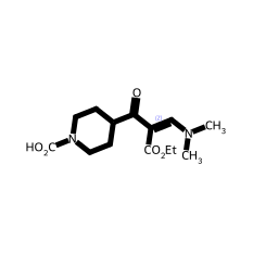 CCOC(=O)/C(=C\N(C)C)C(=O)C1CCN(C(=O)O)CC1